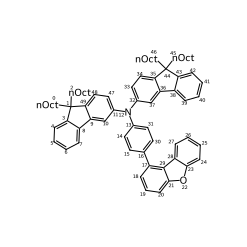 CCCCCCCCC1(CCCCCCCC)c2ccccc2-c2cc(N(c3ccc(-c4cccc5oc6ccccc6c45)cc3)c3ccc4c(c3)-c3ccccc3C4(CCCCCCCC)CCCCCCCC)ccc21